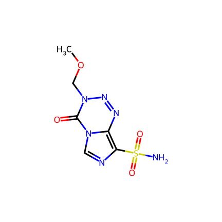 COCn1nnc2c(S(N)(=O)=O)ncn2c1=O